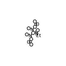 CCn1c2ccccc2c2c(N(c3ccccc3)c3ccc4oc5ccccc5c4c3)cc(N(c3ccccc3)c3ccc4c(c3)oc3ccccc34)cc21